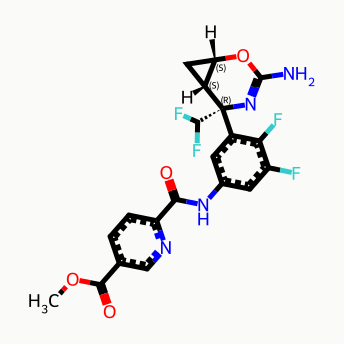 COC(=O)c1ccc(C(=O)Nc2cc(F)c(F)c([C@]3(C(F)F)N=C(N)O[C@H]4C[C@H]43)c2)nc1